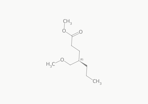 CCC[C@H](CCC(=O)OC)COC